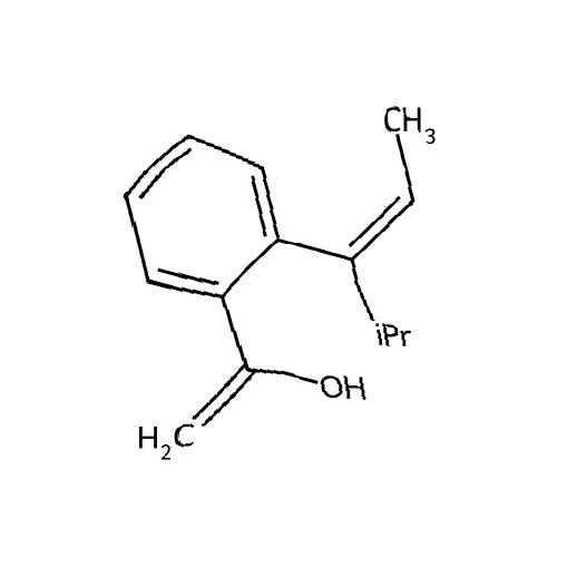 C=C(O)c1ccccc1/C(=C\C)C(C)C